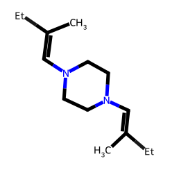 CCC(C)=CN1CCN(C=C(C)CC)CC1